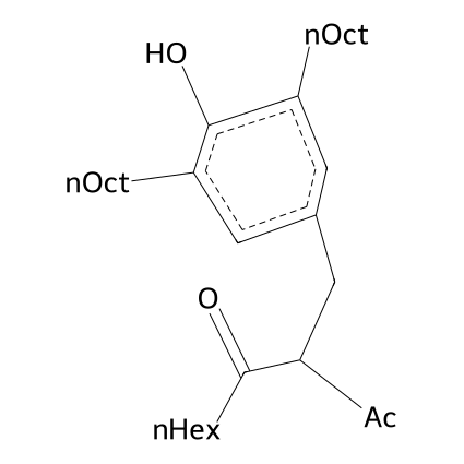 CCCCCCCCc1cc(CC(C(C)=O)C(=O)CCCCCC)cc(CCCCCCCC)c1O